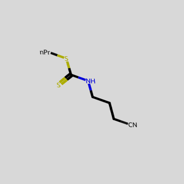 CCCSC(=S)NCCCC#N